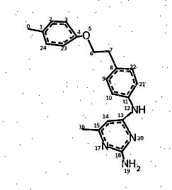 Cc1ccc(OCCc2ccc(Nc3cc(C)nc(N)n3)cc2)cc1